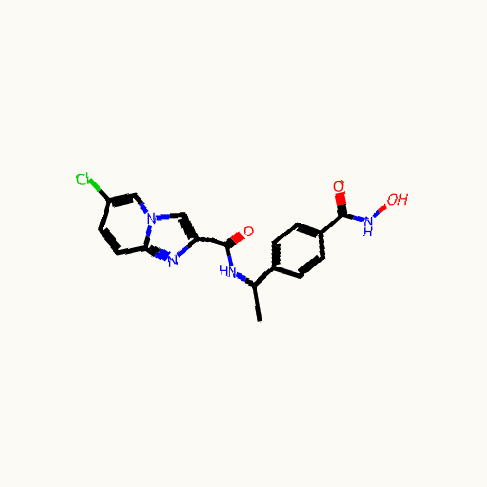 CC(NC(=O)c1cn2cc(Cl)ccc2n1)c1ccc(C(=O)NO)cc1